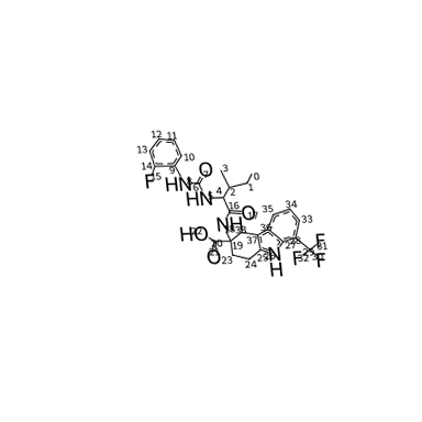 CCC(C)C(NC(=O)Nc1ccccc1F)C(=O)NC1(C(=O)O)CCc2[nH]c3c(C(F)(F)F)cccc3c2C1